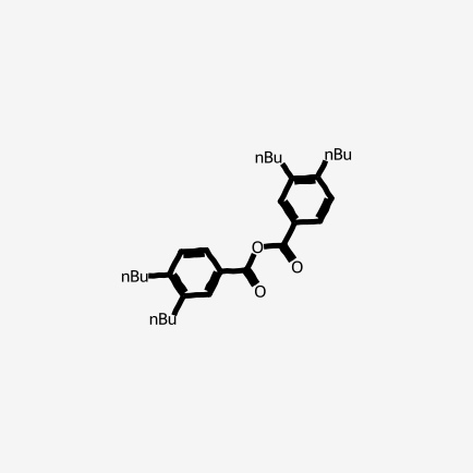 CCCCc1ccc(C(=O)OC(=O)c2ccc(CCCC)c(CCCC)c2)cc1CCCC